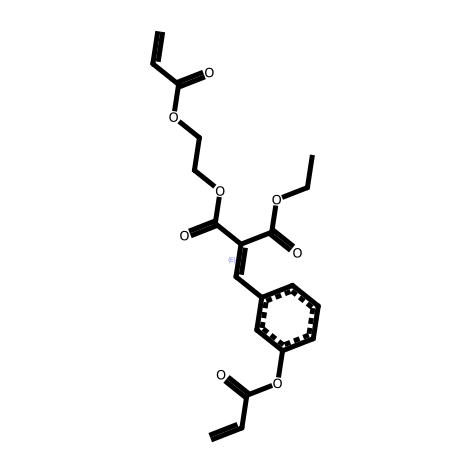 C=CC(=O)OCCOC(=O)/C(=C/c1cccc(OC(=O)C=C)c1)C(=O)OCC